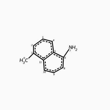 Cc1cccc2c(N)cccc12